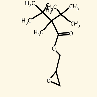 CC(C)(C)C(C)(C(=O)OCC1CO1)C(C)(C)C